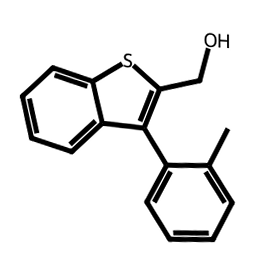 Cc1ccccc1-c1c(CO)sc2ccccc12